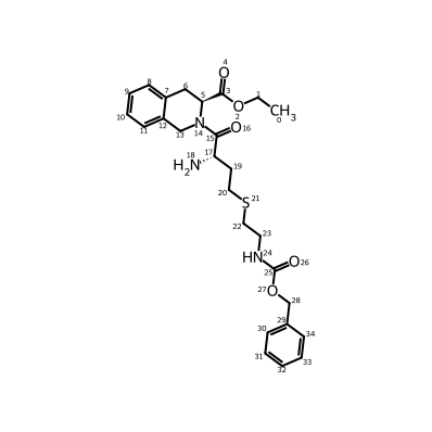 CCOC(=O)[C@@H]1Cc2ccccc2CN1C(=O)[C@@H](N)CCSCCNC(=O)OCc1ccccc1